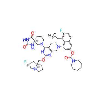 CCc1c(F)ccc2cc(OC(=O)N3CCCCCC3)cc(N3CCc4c(nc(OC[C@@]56CCCN5C[C@H](F)C6)nc4N4CCC[C@]5(C4)NC(=O)NC5=O)C3)c12